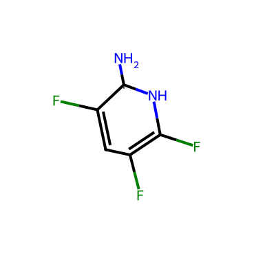 N[C]1NC(F)=C(F)C=C1F